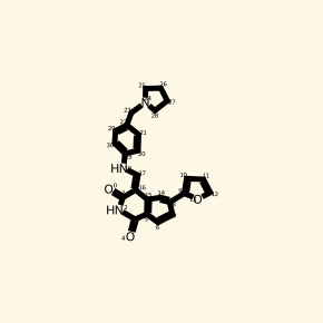 O=C1NC(=O)c2ccc(-c3ccco3)cc2/C1=C/Nc1ccc(CN2CCCC2)cc1